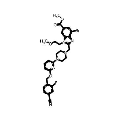 COCCn1c(CN2CCN(c3cccc(OCc4ccc(C#N)cc4F)n3)CC2)nc2c(Br)cc(C(=O)OC)cc21